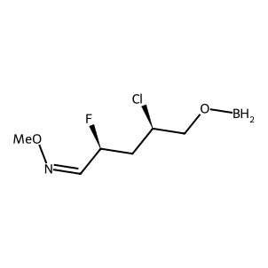 BOC[C@H](Cl)C[C@H](F)/C=N\OC